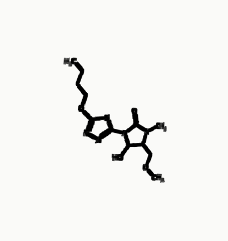 CCCCOc1nnc(N2C(=O)N(C)C(COC)C2O)s1